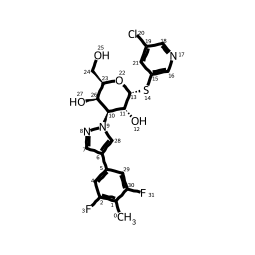 Cc1c(F)cc(-c2cnn([C@@H]3[C@@H](O)[C@@H](Sc4cncc(Cl)c4)O[C@H](CO)[C@@H]3O)c2)cc1F